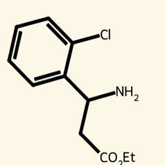 CCOC(=O)CC(N)c1ccccc1Cl